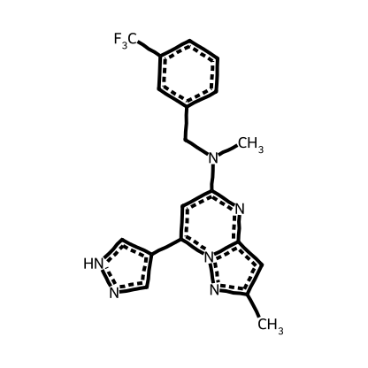 Cc1cc2nc(N(C)Cc3cccc(C(F)(F)F)c3)cc(-c3cn[nH]c3)n2n1